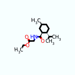 CCOC(=O)CNC(=O)[C@H]1C[C@@H](C)CC[C@@H]1C(C)C